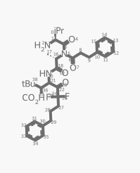 CC(C)[C@H](N)C(=O)N(C(=O)CCc1ccccc1)[C@@H](C)C(=O)NC(C(=O)C(F)(F)CCCc1ccccc1)C(C(=O)O)C(C)(C)C